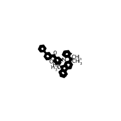 CC1(C)c2ccccc2N(c2ccc3oc4ccc(-c5ccccc5)cc4c(=O)c3c2)c2c1ccc1c2C(C)(C)c2ccccc2-1